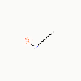 CCCCCCCCCCCCN(C)CCCOP(=O)(O)OP(=O)(O)O